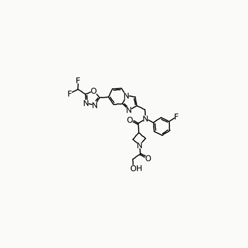 O=C(CO)N1CC(C(=O)N(Cc2cn3ccc(-c4nnc(C(F)F)o4)cc3n2)c2cccc(F)c2)C1